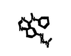 CN(C)N=Nc1ccc2ncnc(N(C)c3ccccc3)c2c1